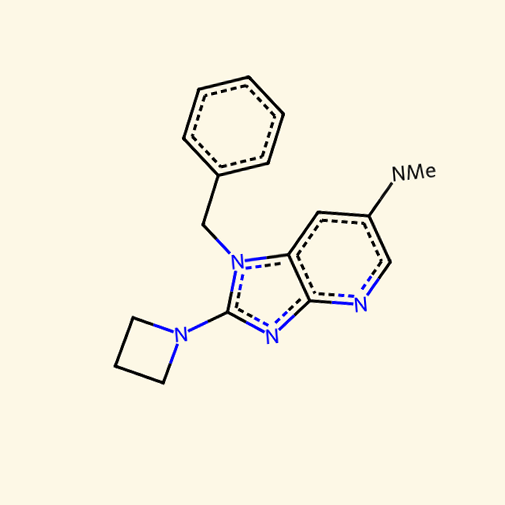 CNc1cnc2nc(N3CCC3)n(Cc3ccccc3)c2c1